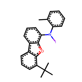 Cc1ccccc1N(I)c1cccc2c1oc1c(C(C)(C)C)cccc12